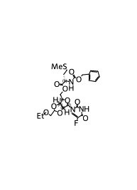 CCOCC1O[C@@H]2[C@H](O1)[C@@H](COC(=O)[C@H](CCSC)NC(=O)OCc1ccccc1)O[C@H]2n1cc(F)c(=O)[nH]c1=O